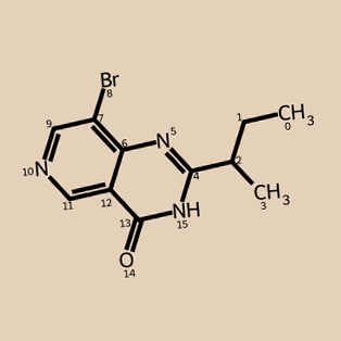 CCC(C)c1nc2c(Br)cncc2c(=O)[nH]1